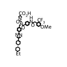 CC[C@H]1CC[C@H](C2CC=C(c3cnc(-c4ccc(CN(CC(=O)N5CC(C(=O)O)C5)C(=O)c5ccc(NC(=O)Cc6ccc(OC)cc6C(F)(F)F)cc5)cc4)nc3)CC2)CC1